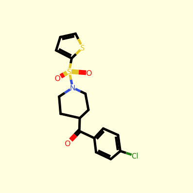 O=C(c1ccc(Cl)cc1)C1CCN(S(=O)(=O)c2cccs2)CC1